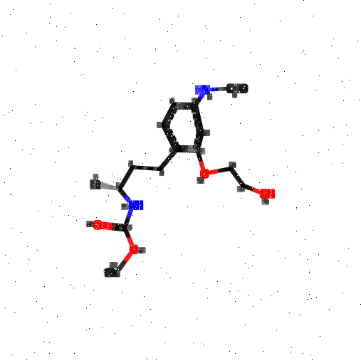 CC[C@H](CCc1ccc(NC=O)cc1OCCO)NC(=O)OC(C)(C)C